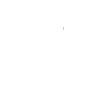 CC(Cc1ccc(-c2ccccc2)cc1)CN1CCCCC1